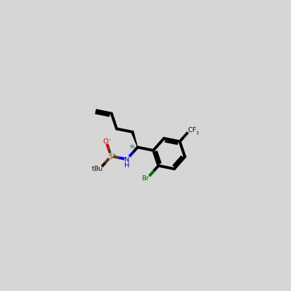 C=CCC[C@H](N[S+]([O-])C(C)(C)C)c1cc(C(F)(F)F)ccc1Br